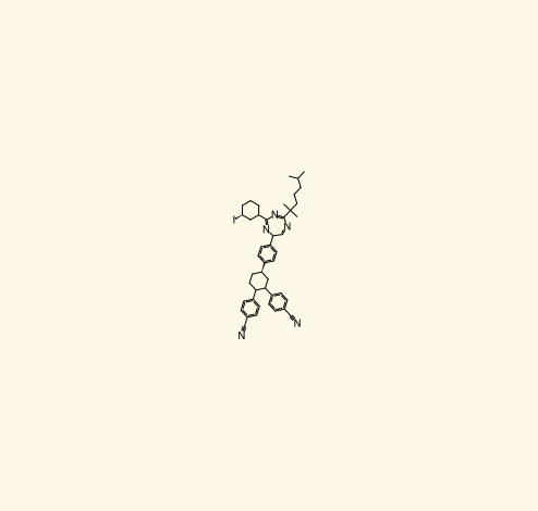 CC(C)CCCC(C)(C)C1=NC(C2CCC[C@H](I)C2)=NC(c2ccc([C@@H]3CCC(c4ccc(C#N)cc4)C(c4ccc(C#N)cc4)C3)cc2)C=N1